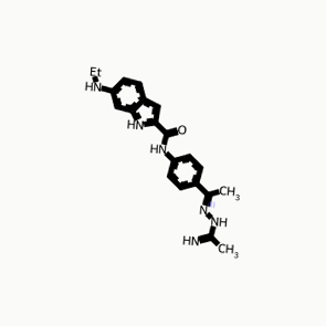 CCNc1ccc2cc(C(=O)Nc3ccc(/C(C)=N/NC(C)=N)cc3)[nH]c2c1